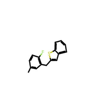 Cc1ccc(F)c(Cc2cc3ccccc3s2)c1